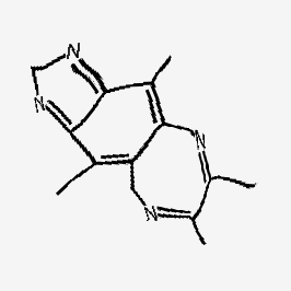 Cc1nc2c(C)c3c(c(C)c2nc1C)=NCN=3